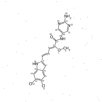 COC(=CC=Cc1cc2cc(Cl)c(Cl)cc2[nH]1)C(=O)Nc1cnc(N)nc1